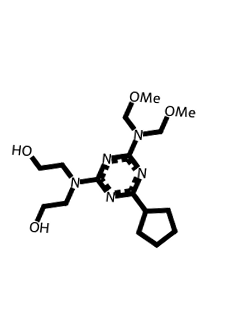 COCN(COC)c1nc(C2CCCC2)nc(N(CCO)CCO)n1